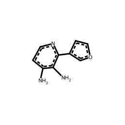 Nc1ccnc(-c2ccoc2)c1N